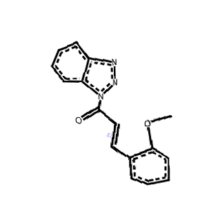 COc1ccccc1/C=C/C(=O)n1nnc2ccccc21